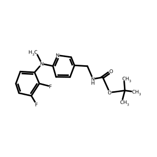 CN(c1ccc(CNC(=O)OC(C)(C)C)cn1)c1cccc(F)c1F